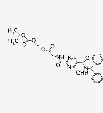 CC(C)OC(=O)OCCOC(=O)CNC(=O)c1ncc(C(=O)NC(c2ccccc2)c2ccccc2)c(O)n1